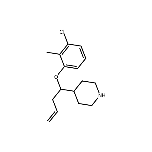 C=CCC(Oc1cccc(Cl)c1C)C1CCNCC1